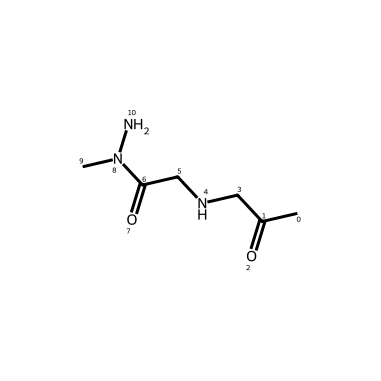 CC(=O)CNCC(=O)N(C)N